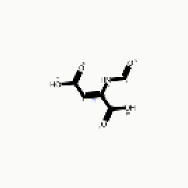 O=CN/C(=C\C(=O)O)C(=O)O